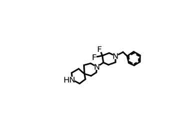 FC1(F)CN(Cc2ccccc2)CCC1N1CCC2(CCNCC2)CC1